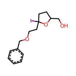 OCC1CCC(I)(CCOCc2ccccc2)O1